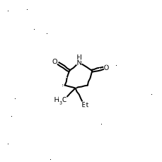 CCC1(C)[C]C(=O)NC(=O)C1